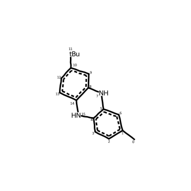 Cc1ccc2c(c1)Nc1cc(C(C)(C)C)ccc1N2